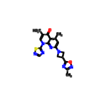 Cc1noc(C2CN(c3cc(C)c4c(=O)c(C(=O)O)cn(-c5ncns5)c4n3)C2)n1